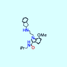 COc1cccc2c(C(=O)NCC(C)C)cn(CCCNC3Cc4ccccc4C3)c12